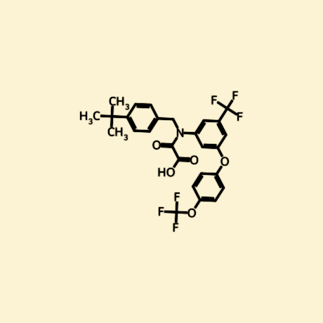 CC(C)(C)c1ccc(CN(C(=O)C(=O)O)c2cc(Oc3ccc(OC(F)(F)F)cc3)cc(C(F)(F)F)c2)cc1